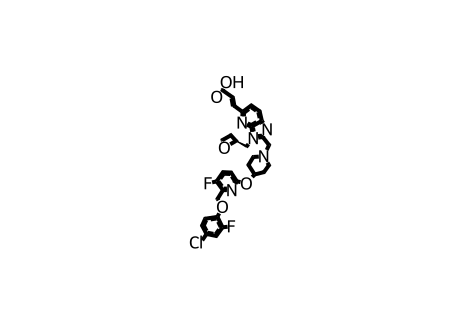 O=C(O)/C=C/c1ccc2nc(CN3CCC(Oc4ccc(F)c(COc5ccc(Cl)cc5F)n4)CC3)n(C[C@@H]3CCO3)c2n1